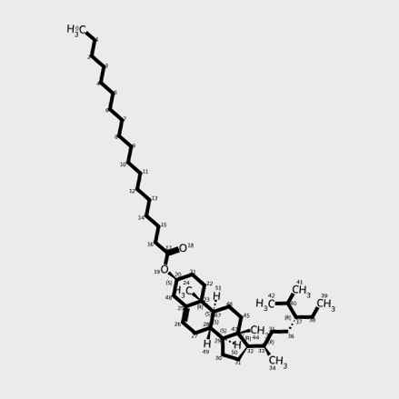 CCCCCCCCCCCCCCCCCC(=O)O[C@H]1CC[C@@]2(C)C(=CC[C@H]3[C@@H]4CC[C@H]([C@H](C)CC[C@@H](CC)C(C)C)[C@@]4(C)CC[C@@H]32)C1